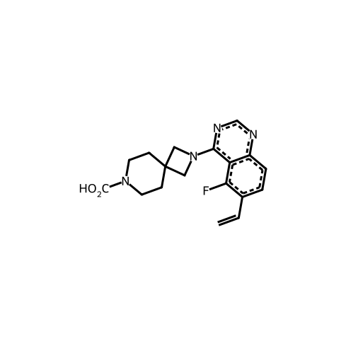 C=Cc1ccc2ncnc(N3CC4(CCN(C(=O)O)CC4)C3)c2c1F